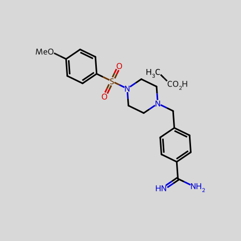 CC(=O)O.COc1ccc(S(=O)(=O)N2CCN(Cc3ccc(C(=N)N)cc3)CC2)cc1